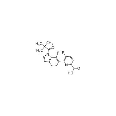 CC(C)(C)C(=O)n1ccc2ccc(-c3nc(C(=O)O)ccc3F)c(F)c21